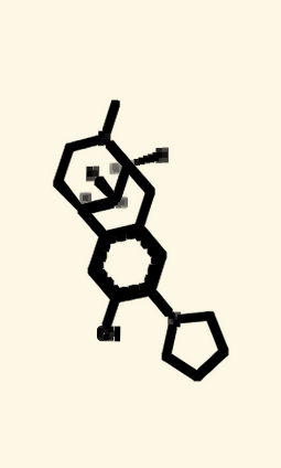 CN1CC[C@]23CCCC[C@H]2[C@@H]1Cc1cc(N2CCCC2)c(O)cc13